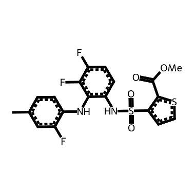 COC(=O)c1sccc1S(=O)(=O)Nc1ccc(F)c(F)c1Nc1ccc(C)cc1F